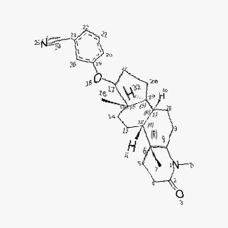 CN1C(=O)CC[C@@]2(C)C1CC[C@@H]1[C@H]2CC[C@]2(C)C(Oc3cccc(C#N)c3)CC[C@@H]12